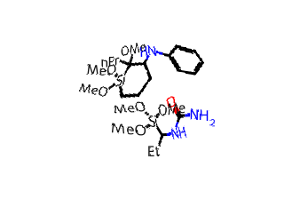 CCC(NC(N)=O)[Si](OC)(OC)OC.CCCC1(OC)C(Nc2ccccc2)CCC[Si]1(OC)OC